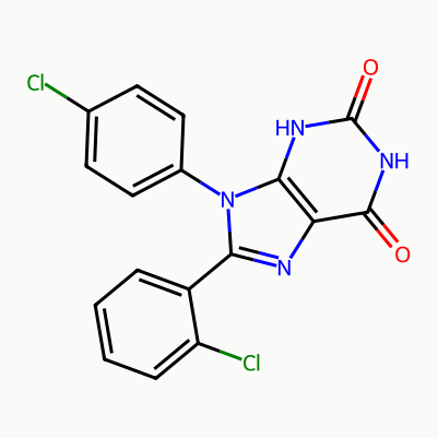 O=c1[nH]c(=O)c2nc(-c3ccccc3Cl)n(-c3ccc(Cl)cc3)c2[nH]1